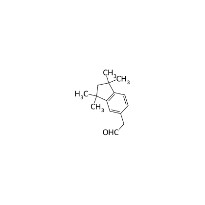 CC1(C)CC(C)(C)c2cc(CC=O)ccc21